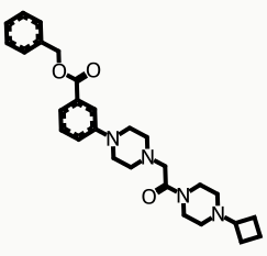 O=C(OCc1ccccc1)c1cccc(N2CCN(CC(=O)N3CCN(C4CCC4)CC3)CC2)c1